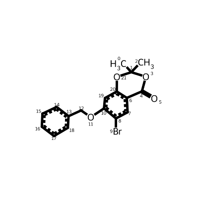 CC1(C)OC(=O)c2cc(Br)c(OCc3ccccc3)cc2O1